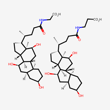 C[C@H](CCC(=O)NCC(=O)O)[C@H]1CC[C@H]2[C@@H]3[C@H](O)C[C@@H]4C[C@H](O)CC[C@]4(C)[C@H]3C[C@H](O)[C@]12C.C[C@H](CCC(=O)NCCC(=O)O)[C@H]1CC[C@H]2[C@@H]3[C@H](O)C[C@@H]4C[C@H](O)CC[C@]4(C)[C@H]3C[C@H](O)[C@]12C